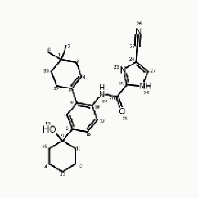 CC1(C)CC=C(c2cc(C3(O)CCCCC3)ccc2NC(=O)c2nc(C#N)c[nH]2)CC1